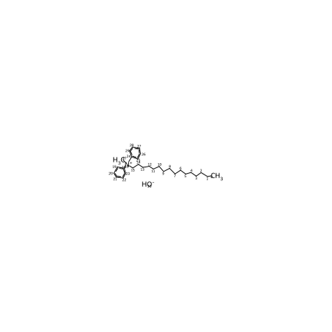 CCCCCCCCCCCCCCCC[N+](C)(c1ccccc1)c1ccccc1.[OH-]